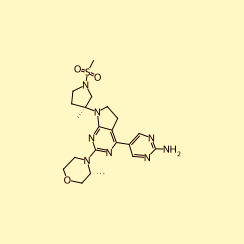 C[C@@H]1COCCN1c1nc(-c2cnc(N)nc2)c2c(n1)N([C@@]1(C)CCN(S(C)(=O)=O)C1)CC2